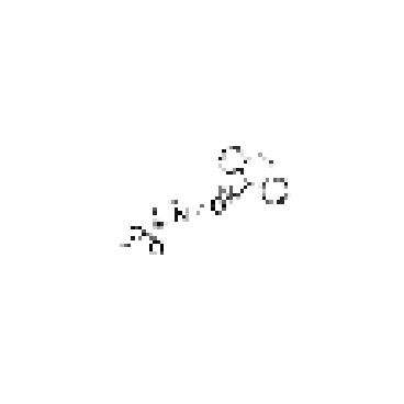 CCOC(=O)[C@@H]1CCCN(CCON=CC2c3ccccc3CCc3ccccc32)C1